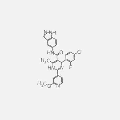 COc1cc(C2=NC(c3ccc(Cl)cc3F)C(C(=O)Nc3ccc4[nH]ncc4c3)=C(C)N2)ccn1